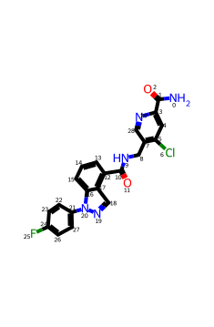 NC(=O)c1cc(Cl)c(CNC(=O)c2cccc3c2cnn3-c2ccc(F)cc2)cn1